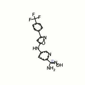 N/C(=N\O)c1ccc(Nc2cc(-c3ccc(C(F)(F)F)cc3)no2)cn1